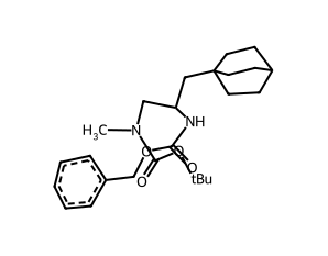 CN(CC(CC12CCC(CC1)CC2)NC(=O)OCc1ccccc1)C(=O)OC(C)(C)C